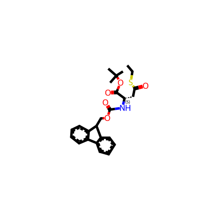 CCSC(=O)C[C@H](NC(=O)OCC1c2ccccc2-c2ccccc21)C(=O)OC(C)(C)C